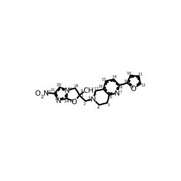 CC1(CN2CCc3nc(-c4ccco4)ccc3C2)Cn2cc([N+](=O)[O-])nc2O1